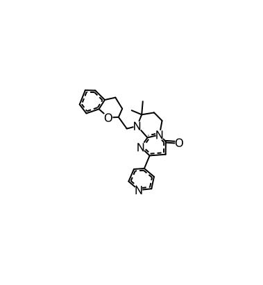 CC1(C)CCn2c(nc(-c3ccncc3)cc2=O)N1CC1CCc2ccccc2O1